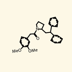 COc1ccc(CC(=O)N2CCCC2CC(c2ccccc2)c2ccccc2)cc1OC